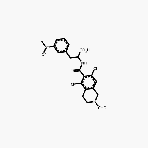 C[S+]([O-])c1cccc(CC(NC(=O)c2c(Cl)cc3c(c2Cl)CCN(C=O)C3)C(=O)O)c1